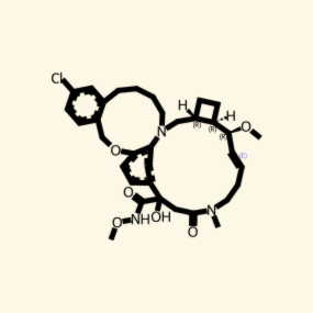 CONC(=O)C1(O)CC(=O)N(C)CC/C=C/[C@H](OC)[C@@H]2CC[C@H]2CN2CCCCc3cc(Cl)ccc3COc3ccc1cc32